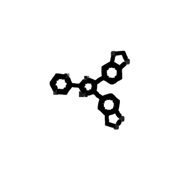 c1cnc(-c2nc(-c3ccc4c(c3)OCO4)c(-c3ccc4c(c3)COO4)[nH]2)cn1